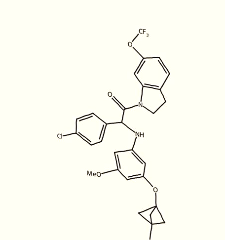 COc1cc(NC(C(=O)N2CCc3ccc(OC(F)(F)F)cc32)c2ccc(Cl)cc2)cc(OC23CC(C(=O)O)(C2)C3)c1